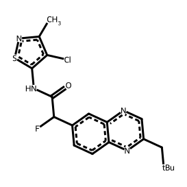 Cc1nsc(NC(=O)C(F)c2ccc3nc(CC(C)(C)C)cnc3c2)c1Cl